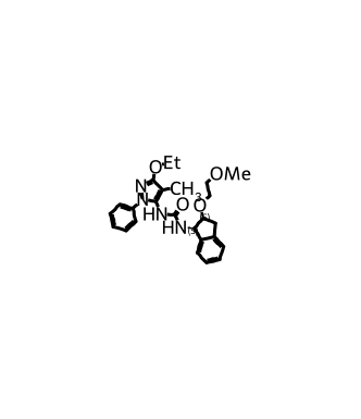 CCOc1nn(-c2ccccc2)c(NC(=O)N[C@H]2c3ccccc3C[C@@H]2OCCOC)c1C